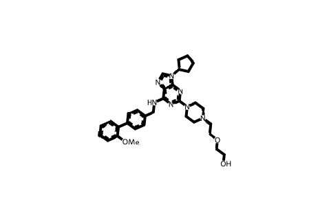 COc1ccccc1-c1ccc(CNc2nc(N3CCN(CCOCCO)CC3)nc3c2ncn3C2CCCC2)cc1